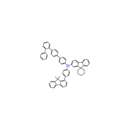 CC1(C)c2ccccc2-c2cccc(-c3ccc(N(c4ccc(-c5ccc(-c6ccccc6-c6ccccc6)cc5)cc4)c4ccc5c(c4)C4(CCCCC4)c4ccccc4-5)cc3)c21